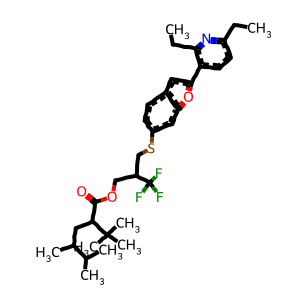 CCc1ccc(-c2cc3ccc(SCC(COC(=O)C(CC(C)C(C)C)C(C)(C)C)C(F)(F)F)cc3o2)c(CC)n1